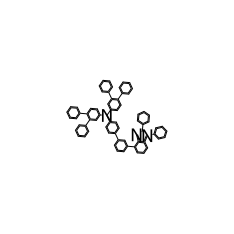 c1ccc(-c2ccc(N(c3ccc(-c4cccc(-c5cccc6c5nc(-c5ccccc5)n6-c5ccccc5)c4)cc3)c3ccc(-c4ccccc4)c(-c4ccccc4)c3)cc2-c2ccccc2)cc1